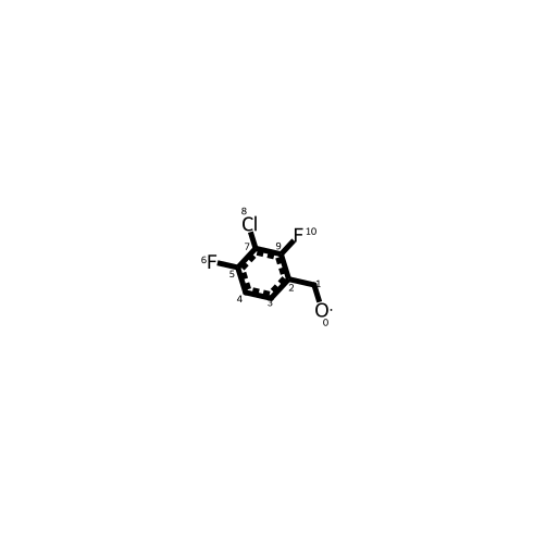 [O]Cc1ccc(F)c(Cl)c1F